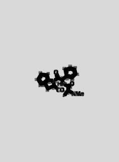 CNC(C)C(=O)NC(C(=O)N1c2ccccc2CC1C(=O)O)c1ccccc1